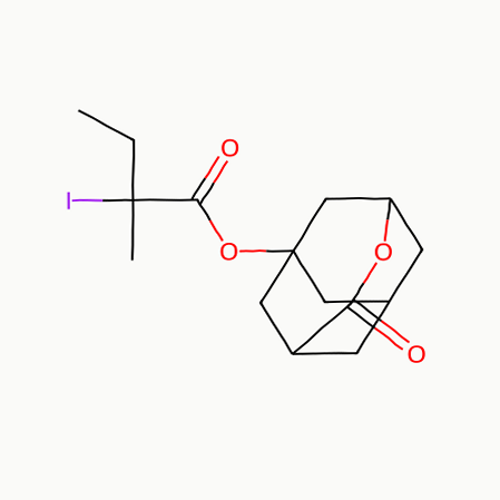 CCC(C)(I)C(=O)OC12CC3CC(C1)OC(=O)C(C3)C2